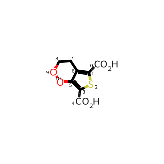 O=C(O)c1sc(C(=O)O)c2c1CCOO2